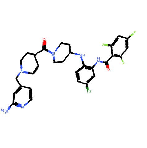 Nc1cc(CN2CCC(C(=O)N3CCC(Nc4ccc(Cl)cc4NC(=O)c4c(F)cc(F)cc4F)CC3)CC2)ccn1